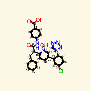 O=C(O)c1ccc(NC(=O)[C@@H](Cc2ccccc2)c2ccc(-c3cc(Cl)ccc3-n3cnnn3)c[n+]2O)cc1